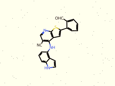 N#Cc1cnc2sc(-c3ccccc3C=O)cc2c1Nc1cccc2[nH]ccc12